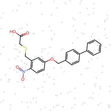 O=C(O)CSCc1cc(OCc2ccc(-c3ccccc3)cc2)ccc1[N+](=O)[O-]